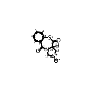 O=C1Sc2ccccc2C(=O)N2C[S@+]([O-])C[C@@H]12